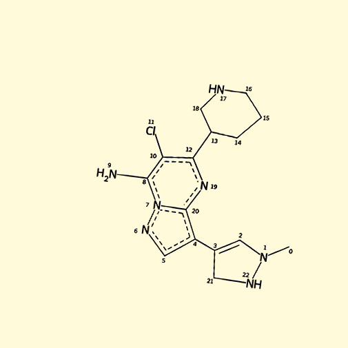 CN1C=C(c2cnn3c(N)c(Cl)c(C4CCCNC4)nc23)CN1